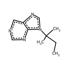 CCC(C)(C)n1cnc2cncnc21